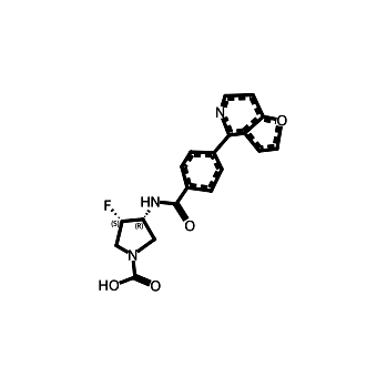 O=C(N[C@@H]1CN(C(=O)O)C[C@@H]1F)c1ccc(-c2nccc3occc23)cc1